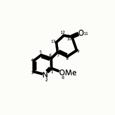 COc1ncccc1C1=CCC(=O)CC1